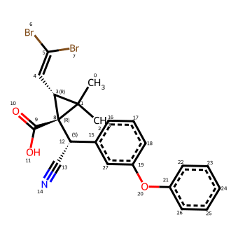 CC1(C)[C@@H](C=C(Br)Br)[C@@]1(C(=O)O)[C@@H](C#N)c1cccc(Oc2ccccc2)c1